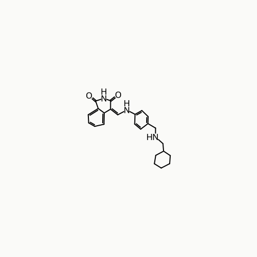 O=C1NC(=O)c2ccccc2C1=CNc1ccc(CNCC2CCCCC2)cc1